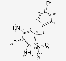 Nc1cc(Cc2ccc(F)cc2)c([N+](=O)[O-])c(N)c1F